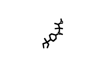 CCC(C)(CC)C1CCC(N(C)C(C)(C)C(C)OC)CC1